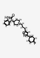 O=c1[nH]c2ccccc2n1C1CCN(CCCc2cc(-c3ccc(F)cc3)no2)CC1